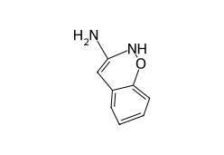 NC1=Cc2ccccc2ON1